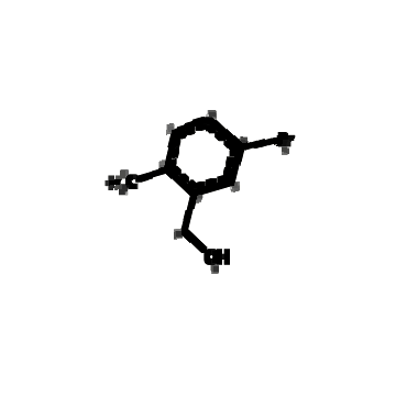 [CH2]c1ccc(Br)cc1CO